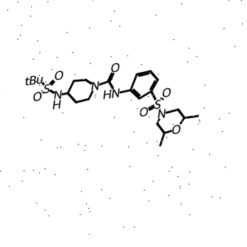 CC1CN(S(=O)(=O)c2cccc(NC(=O)N3CCC(NS(=O)(=O)C(C)(C)C)CC3)c2)CC(C)O1